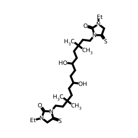 CCN1CC(=S)N(CCC(C)(C)CCC(O)CCC(O)CCC(C)(C)CCN2C(=O)N(CC)CC2=S)C1=O